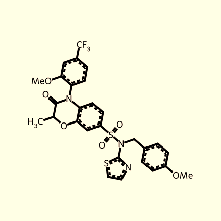 COc1ccc(CN(c2nccs2)S(=O)(=O)c2ccc3c(c2)OC(C)C(=O)N3c2ccc(C(F)(F)F)cc2OC)cc1